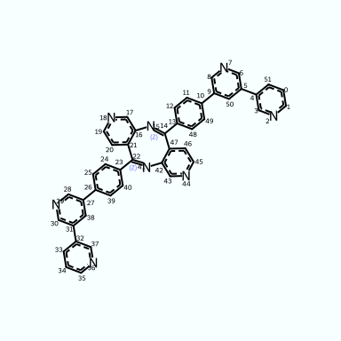 c1cncc(-c2cncc(-c3ccc(/C4=N/c5cnccc5/C(c5ccc(-c6cncc(-c7cccnc7)c6)cc5)=N\c5cnccc54)cc3)c2)c1